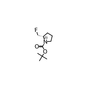 CC(C)(C)OC(=O)N1CCC[C@H]1CF